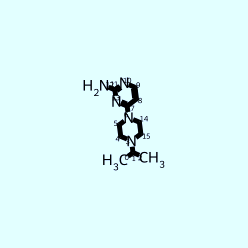 CC(C)N1CCN(c2ccnc(N)n2)CC1